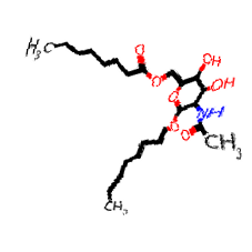 CCCCCCCCOC1OC(COC(=O)CCCCCCC)C(O)C(O)C1NC(C)=O